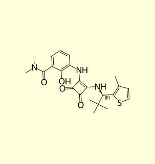 Cc1ccsc1[C@H](Nc1c(Nc2cccc(C(=O)N(C)C)c2O)c(=O)c1=O)C(C)(C)C